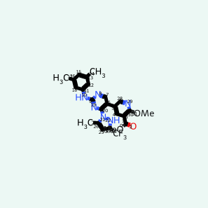 COC(=O)c1cc(-c2cnc(Nc3cc(C)cc(C)c3)nc2N2NC(C(F)(F)F)C=C2C)cnc1OC